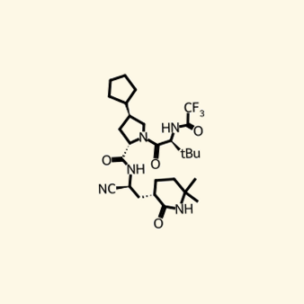 CC1(C)CC[C@@H](C[C@@H](C#N)NC(=O)[C@@H]2C[C@@H](C3CCCC3)CN2C(=O)[C@@H](NC(=O)C(F)(F)F)C(C)(C)C)C(=O)N1